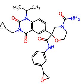 CC(C)n1c(=O)n(CC2CC2)c(=O)c2cc(C3(C(=O)Nc4cccc(C5CO5)c4)CN(C(N)=O)CCO3)ccc21